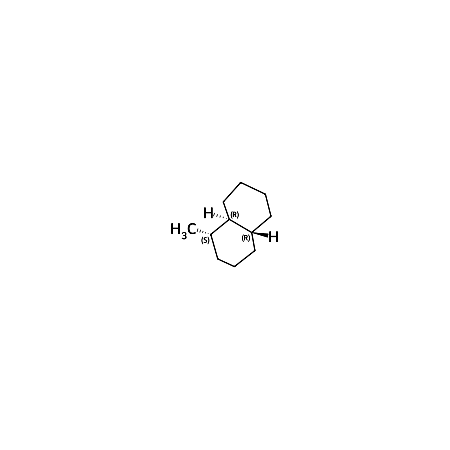 C[C@H]1CCC[C@H]2CCCC[C@@H]21